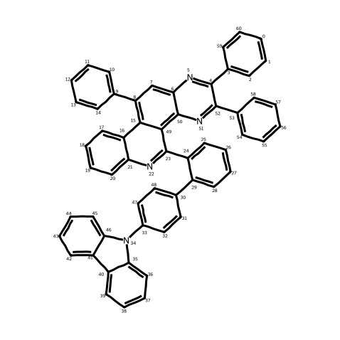 c1ccc(-c2nc3cc(-c4ccccc4)c4c5ccccc5nc(-c5ccccc5-c5ccc(-n6c7ccccc7c7ccccc76)cc5)c4c3nc2-c2ccccc2)cc1